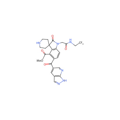 COC(=O)c1c(C(=O)c2cnc3[nH]ncc3c2)ccc2c1C1(CCNCC1)C(=O)N2CC(=O)NCC(F)(F)F